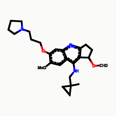 COc1cc2c(NCC3(C)CC3)c3c(nc2cc1OCCCN1CCCC1)CCC3OC=O